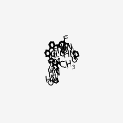 COc1nc(-c2cccc(-c3cccc(-c4ccn5c(=O)c(CNC[C@@H]6CCC(=O)N6)c(C)nc5c4)c3Cl)c2Cl)cc(F)c1CNC[C@@H]1CCC(=O)N1